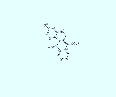 O=C(O)c1c(CBr)n(-c2ccc(Cl)cc2)c(=O)c2ccccc12